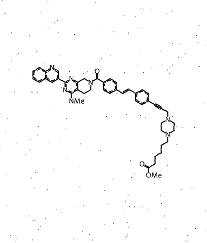 CNc1nc(-c2cnc3ccccc3c2)nc2c1CCN(C(=O)c1ccc(/C=C/c3ccc(C#CCN4CCN(CCCCCC(=O)OC)CC4)cc3)cc1)C2